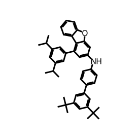 CC(C)c1cc(-c2cc(Nc3ccc(-c4cc(C(C)(C)C)cc(C(C)(C)C)c4)cc3)cc3oc4ccccc4c23)cc(C(C)C)c1